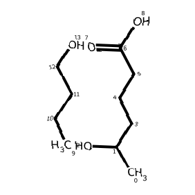 CC(O)CCCC(=O)O.CCCCO